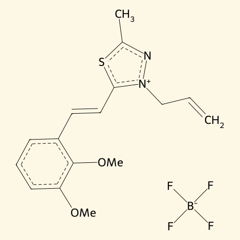 C=CC[n+]1nc(C)sc1C=Cc1cccc(OC)c1OC.F[B-](F)(F)F